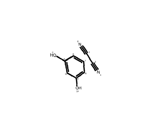 N#CC#N.Oc1cccc(O)c1